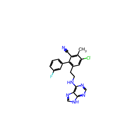 Cc1c(Cl)cc(CCNc2ncnc3[nH]cnc23)c(-c2cccc(F)c2)c1C#N